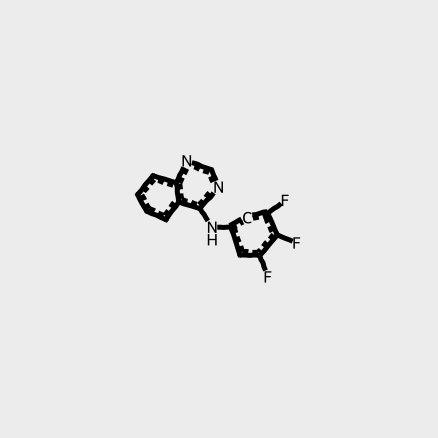 Fc1cc(Nc2ncnc3ccccc23)cc(F)c1F